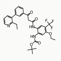 CCOc1cc(NC(=O)OC(C)(C)C)c(NC(=O)CC(=O)c2cccc(-c3cccnc3CC)c2)cc1C(F)(F)F